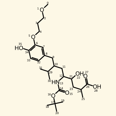 COCCCOc1cc(CC(CC(NC(=O)OC(C)(C)C)C(O)CC(C)C(=O)O)C(C)C)ccc1O